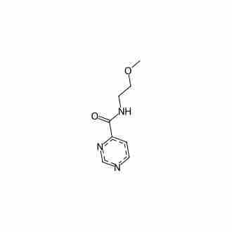 COCCNC(=O)c1ccncn1